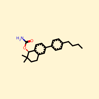 CCCCc1ccc(-c2ccc3c(c2)CCC(C)(C)[C@H]3OC(N)=O)cc1